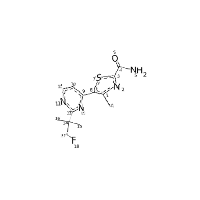 Cc1nc(C(N)=O)sc1-c1ccnc(C(C)(C)CF)n1